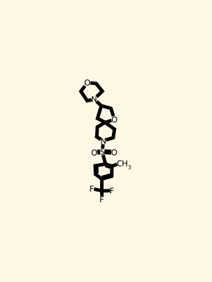 Cc1cc(C(F)(F)F)ccc1S(=O)(=O)N1CCC2(CC1)CC(N1CCOCC1)CO2